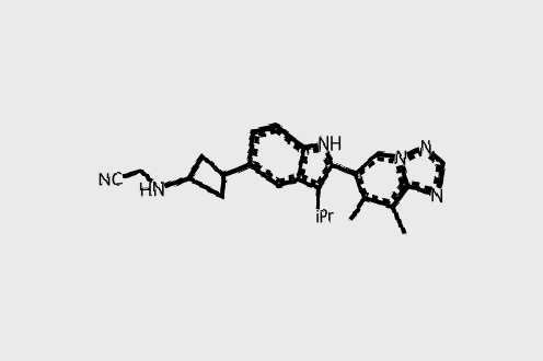 Cc1c(-c2[nH]c3ccc(C4CC(NCC#N)C4)cc3c2C(C)C)cn2ncnc2c1C